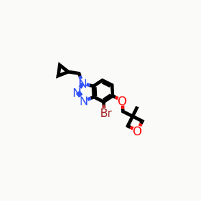 CC1(COc2ccc3c(nnn3CC3CC3)c2Br)COC1